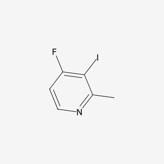 Cc1nccc(F)c1I